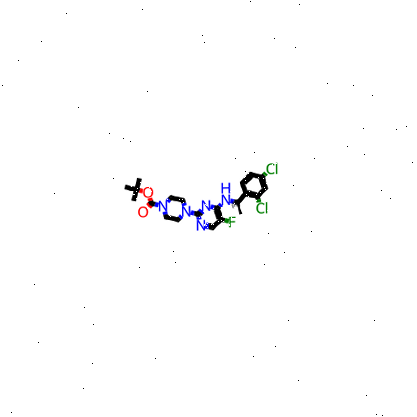 C[C@@H](Nc1nc(N2CCN(C(=O)OC(C)(C)C)CC2)ncc1F)c1ccc(Cl)cc1Cl